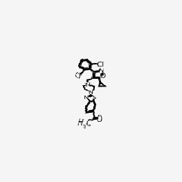 CC(=O)c1ccc2nc(N3CCN(Cc4c(-c5c(Cl)cccc5Cl)noc4C4CC4)CC3)sc2c1